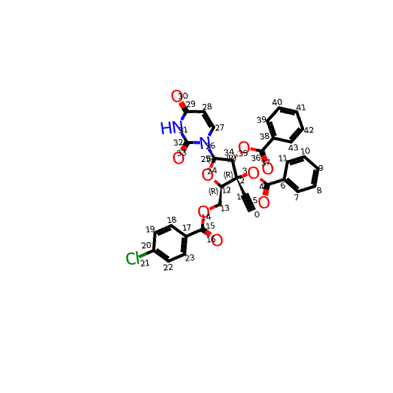 C#C[C@@]1(OC(=O)c2ccccc2)[C@@H](COC(=O)c2ccc(Cl)cc2)O[C@@H](n2ccc(=O)[nH]c2=O)[C@@H]1OC(=O)c1ccccc1